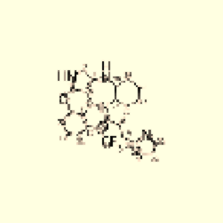 O=C1NCC2=C1C(c1ccccc1OC(F)(F)F)N(C(=O)CCc1nccs1)C1CCCCC1N2